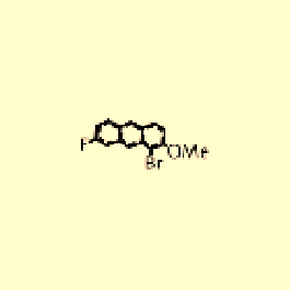 COc1ccc2cc3ccc(F)cc3cc2c1Br